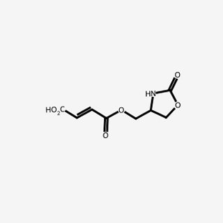 O=C(O)C=CC(=O)OCC1COC(=O)N1